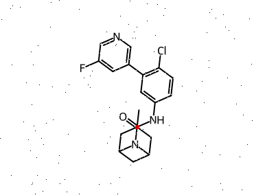 CC1CC2CC(C1)N2C(=O)Nc1ccc(Cl)c(-c2cncc(F)c2)c1